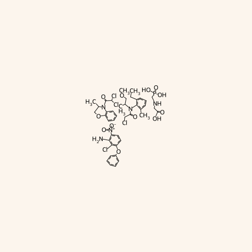 CC1COc2ccccc2N1C(=O)C(Cl)Cl.CCc1cccc(C)c1N(C(=O)CCl)C(C)COC.Nc1c([N+](=O)[O-])ccc(Oc2ccccc2)c1Cl.O=C(O)CNCP(=O)(O)O